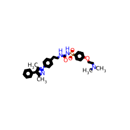 Cc1nn(-c2ccc(CCNC(=O)NS(=O)(=O)c3ccc(OCCN(C)C)cc3)cc2)c(C)c1-c1ccccc1